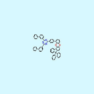 c1ccc(-c2cccc(-c3nc(-c4ccc(-c5cccc6c5Oc5c(ccc7c5-c5ccccc5C7(c5ccccc5)c5ccccc5)O6)cc4)nc(-c4cccc(-c5ccccc5)c4)n3)c2)cc1